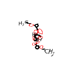 C=CCOc1cccc(C(=O)O[C@H]2CO[C@H]3[C@@H]2OC[C@H]3OC(=O)c2cccc(OCC=C)c2)c1